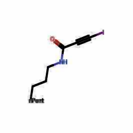 CCCCCCCCNC(=O)C#CI